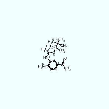 CC(Nc1cc(C(N)=O)ccc1N)O[Si](C)(C)C(C)(C)C